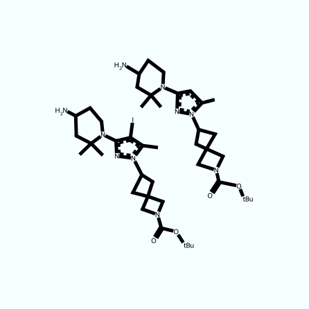 Cc1c(I)c(N2CCC(N)CC2(C)C)nn1C1CC2(C1)CN(C(=O)OC(C)(C)C)C2.Cc1cc(N2CCC(N)CC2(C)C)nn1C1CC2(C1)CN(C(=O)OC(C)(C)C)C2